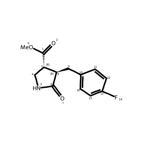 COC(=O)[C@H]1CNC(=O)[C@@H]1Cc1ccc(F)cc1